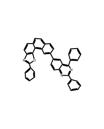 c1ccc(-c2nc(-c3ccccc3)c3cc(-c4ccc5ccc6ccc7nc(-c8ccccc8)oc7c6c5c4)ccc3n2)cc1